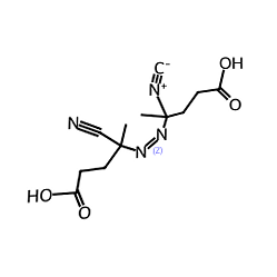 [C-]#[N+]C(C)(CCC(=O)O)/N=N\C(C)(C#N)CCC(=O)O